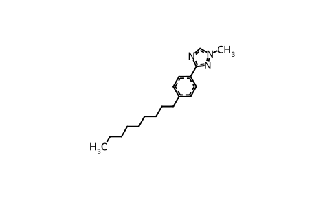 CCCCCCCCCc1ccc(-c2ncn(C)n2)cc1